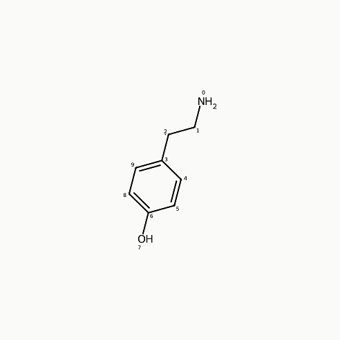 NC[CH]c1ccc(O)cc1